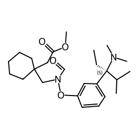 CC[C@@](c1cccc(ON(C=O)CC2(CC(=O)OC)CCCCC2)c1)(C(C)C)N(C)C